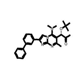 CC(=O)[C@@H](OC(C)(C)C)c1c(C)nc2nc(-c3cccc(-c4ccccc4)c3)cn2c1N(C)C